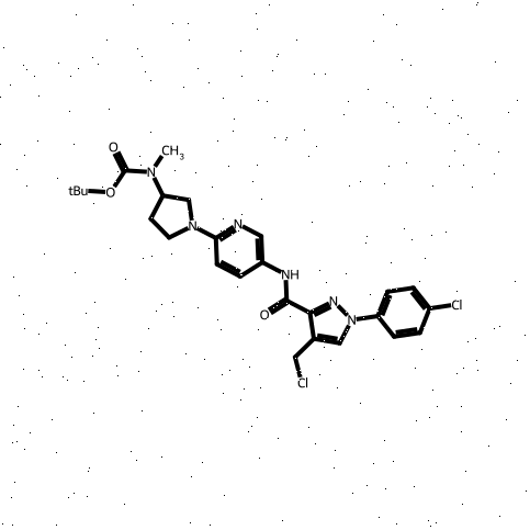 CN(C(=O)OC(C)(C)C)C1CCN(c2ccc(NC(=O)c3nn(-c4ccc(Cl)cc4)cc3CCl)cn2)C1